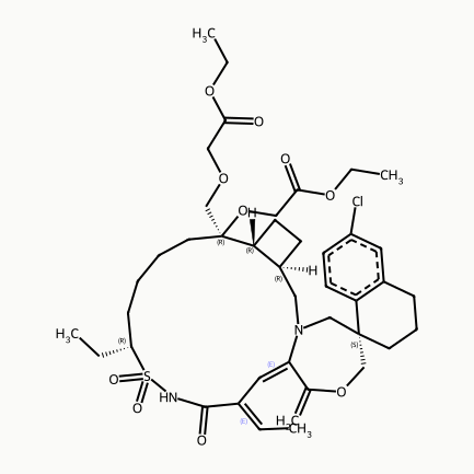 C=C1OC[C@]2(CCCc3cc(Cl)ccc32)CN2C[C@@H]3CC[C@H]3[C@](COCC(=O)OCC)(OCC(=O)OCC)CCCC[C@@H](CC)S(=O)(=O)NC(=O)C(=C/C)/C=C\12